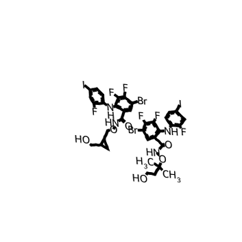 CC(C)(CCO)ONC(=O)c1cc(Br)c(F)c(F)c1Nc1ccc(I)cc1F.O=C(NOCC1CC1CO)c1cc(Br)c(F)c(F)c1Nc1ccc(I)cc1F